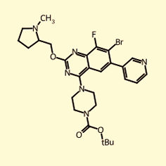 CN1CCCC1COc1nc(N2CCN(C(=O)OC(C)(C)C)CC2)c2cc(-c3cccnc3)c(Br)c(F)c2n1